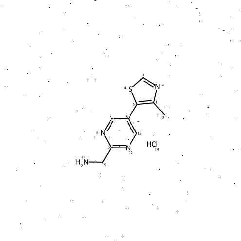 Cc1ncsc1-c1cnc(CN)nc1.Cl